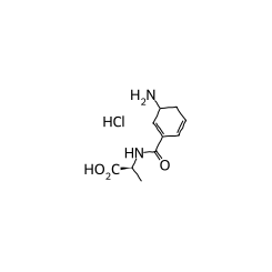 C[C@H](NC(=O)C1=CC(N)CC=C1)C(=O)O.Cl